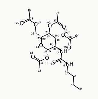 CCCCNC(=S)N[C@H]1[C@H](OC(C)=O)O[C@H](COC(C)=O)[C@@H](OC(C)=O)[C@@H]1OC(C)=O